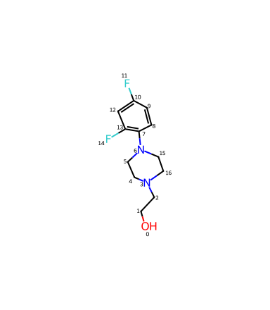 OCCN1CCN(c2ccc(F)cc2F)CC1